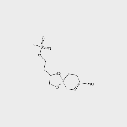 CC(C)(C)C1=CCC2(CC1)OCC(CCOS(C)(=O)=O)O2